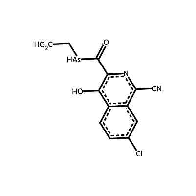 N#Cc1nc(C(=O)[AsH]CC(=O)O)c(O)c2ccc(Cl)cc12